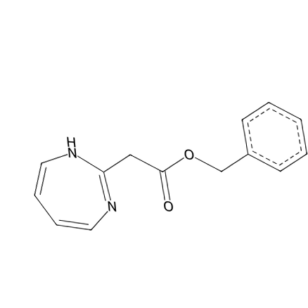 O=C(CC1=NC=CC=CN1)OCc1ccccc1